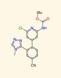 Cn1cnnc1-c1cc(C#N)ccc1-c1cc(Cl)nc(NC(=O)OC(C)(C)C)c1